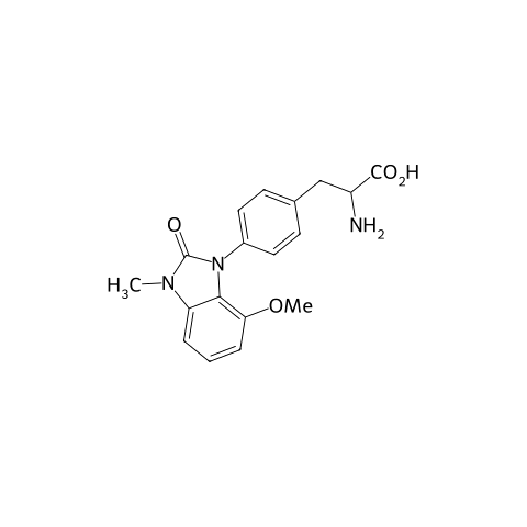 COc1cccc2c1n(-c1ccc(CC(N)C(=O)O)cc1)c(=O)n2C